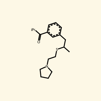 CC(Cc1cccc(C(=O)C(C)C)c1)SCCN1CCCC1